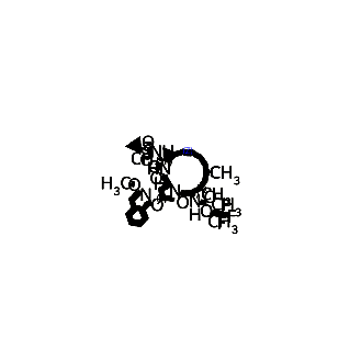 COc1cc2ccccc2c(O[C@@H]2C[C@H]3C(=O)N[C@]4(C(=O)NS(=O)(=O)C5(C)CC5)CC4/C=C\CC[C@@H](C)C[C@@H](C)[C@H](NC(=O)OC(C)(C)C(F)(F)F)C(=O)N3C2)n1